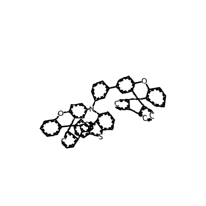 c1cc(-c2ccc3c(c2)C2(c4ccccc4O3)c3ccccc3-c3ccccc32)cc(N(c2ccc3c(c2)C2(c4ccccc4O3)c3ccccc3-c3ccccc32)c2cccc3sc4ccccc4c23)c1